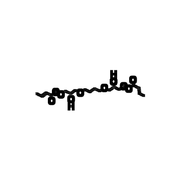 CC=CC(=O)OOCC(O)COCCCCOCC(O)COOC(=O)C=CC